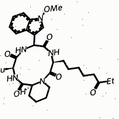 CCC(=O)CCCCC[C@@H]1NC(=O)C(c2cn(OC)c3ccccc23)NC(=O)[C@H](C(C)CC)NC(=O)[C@@H]2CCCCN2C1=O